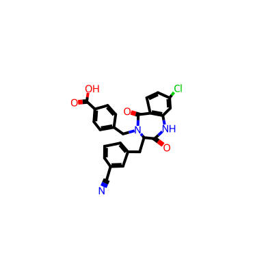 N#Cc1cccc(CC2C(=O)Nc3cc(Cl)ccc3C(=O)N2Cc2ccc(C(=O)O)cc2)c1